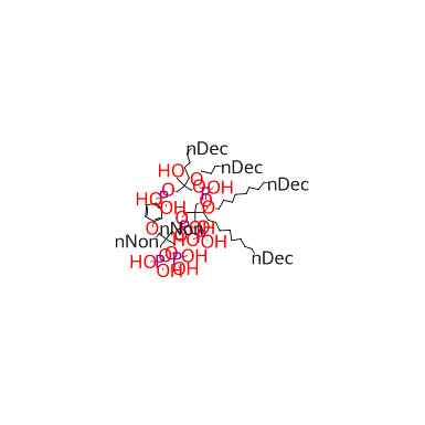 CCCCCCCCCCCCCCCCCCOC(CCCCCCCCCCCCCCCCCC)C(COP(O)O)(COP(O)OCC(CO)(COP(O)O)C(CCCCCCCCCCCCC)OCCCCCCCCCCCCC)COP(O)OCC(COP(O)O)(COP(O)O)C(CCCCCCCCC)(CCCCCCCCC)Oc1ccccc1